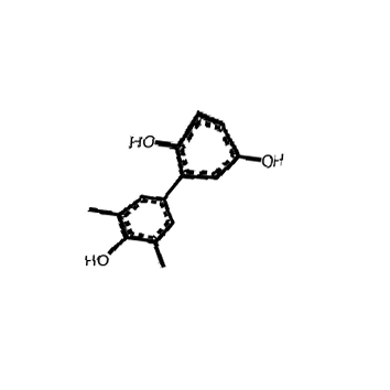 Cc1cc(-c2cc(O)ccc2O)cc(C)c1O